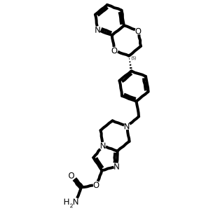 NC(=O)Oc1cn2c(n1)CN(Cc1ccc([C@H]3COc4cccnc4O3)cc1)CC2